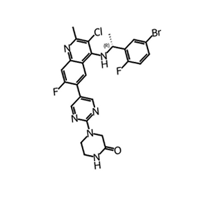 Cc1nc2cc(F)c(-c3cnc(N4CCNC(=O)C4)nc3)cc2c(N[C@H](C)c2cc(Br)ccc2F)c1Cl